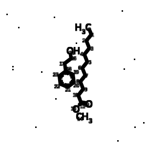 CCCCCCCCCCCC(=O)OC.OCCc1ccccc1